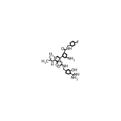 CC(C)Nc1ncc(-c2cc(N)cc(C(=O)NCc3ccc(F)cc3)c2)n(CC(=O)NCc2ccc(C(=N)N)c(O)c2)c1=O